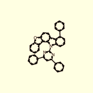 c1ccc(-c2cc(-c3ccccc3)nc(-n3c4cccc(-c5ccccc5)c4c4ccc5oc6ccccc6c5c43)n2)cc1